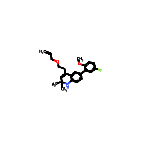 C=CCOCCC1=CC(C)(C)Nc2ccc(-c3cc(F)ccc3OC)cc21